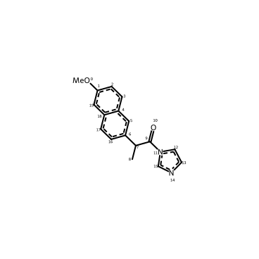 COc1ccc2cc(C(C)C(=O)n3ccnc3)ccc2c1